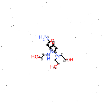 Nc1cc2c(cc(N(CCO)CCO)n2NCCO)o1